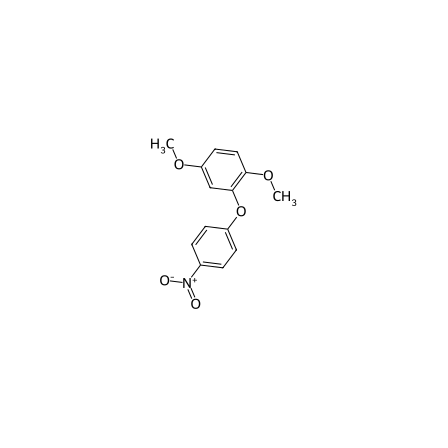 COc1ccc(OC)c(Oc2ccc([N+](=O)[O-])cc2)c1